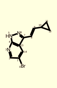 Brc1cnc2[nH]nc(C=CC3CC3)c2c1